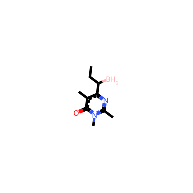 BC(CC)c1nc(C)n(C)c(=O)c1C